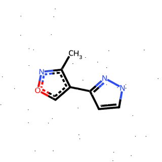 Cc1nocc1C1=N[N]C=C1